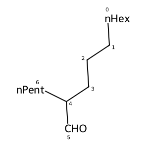 CCCCCCCCCC(C=O)CCCCC